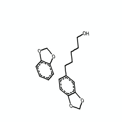 OCCCCCc1ccc2c(c1)OCO2.c1ccc2c(c1)OCO2